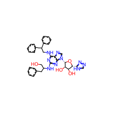 OCC(Cc1ccccc1)Nc1nc(NCC(c2ccccc2)c2ccccc2)c2ncn([C@@H]3O[C@H](c4nnc[nH]4)[C@@H](O)[C@H]3O)c2n1